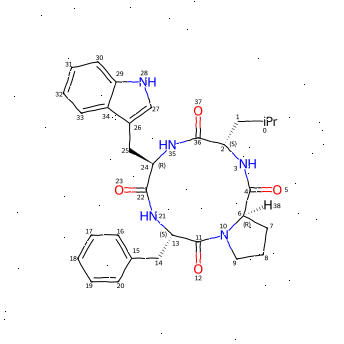 CC(C)C[C@@H]1NC(=O)[C@H]2CCCN2C(=O)[C@H](Cc2ccccc2)NC(=O)[C@@H](Cc2c[nH]c3ccccc23)NC1=O